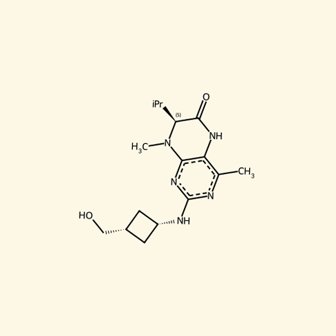 Cc1nc(N[C@H]2C[C@@H](CO)C2)nc2c1NC(=O)[C@H](C(C)C)N2C